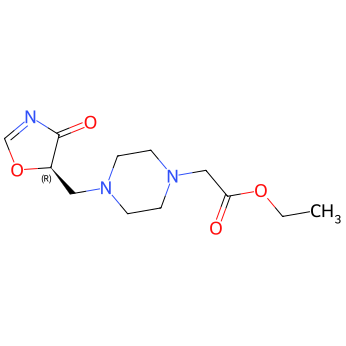 CCOC(=O)CN1CCN(C[C@H]2OC=NC2=O)CC1